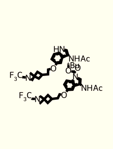 CC(=O)Nc1c[nH]c2ccc(OCCC3CC4(C3)CN(CC(F)(F)F)C4)cc12.CC(=O)Nc1cn(C(=O)OC(C)(C)C)c2ccc(OCCC3CC4(C3)CN(CC(F)(F)F)C4)cc12